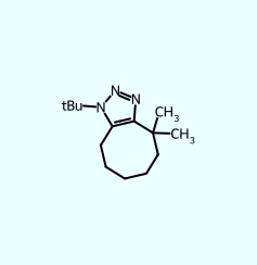 CC1(C)CCCCCc2c1nnn2C(C)(C)C